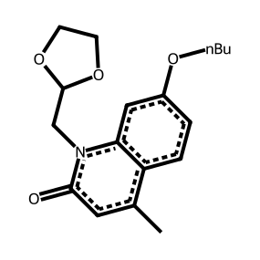 CCCCOc1ccc2c(C)cc(=O)n(CC3OCCO3)c2c1